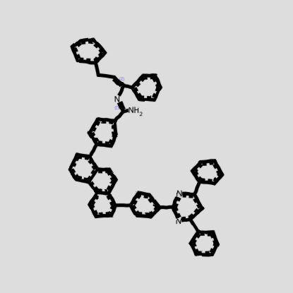 N/C(=N\C(=C/Cc1ccccc1)c1ccccc1)c1ccc(-c2cccc3c2ccc2c(-c4ccc(-c5nc(-c6ccccc6)cc(-c6ccccc6)n5)cc4)cccc23)cc1